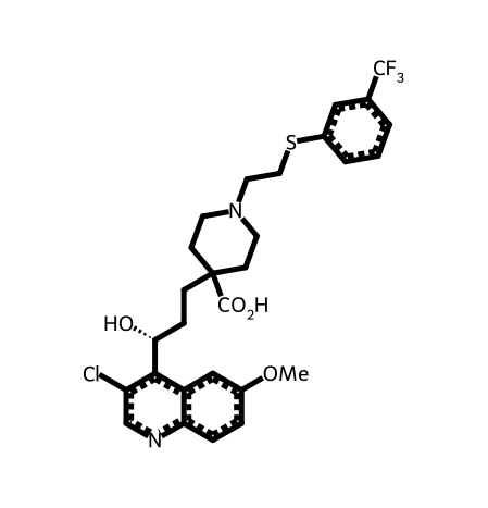 COc1ccc2ncc(Cl)c([C@H](O)CCC3(C(=O)O)CCN(CCSc4cccc(C(F)(F)F)c4)CC3)c2c1